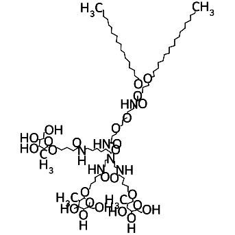 CCCCCCCCCCCCCCCCCCOCC(COC(=O)NCCOCCOCCC(=O)NC(CCCCNC(=O)CCCCOC1OC(CO)C(O)C(O)C1C)C(=O)N(CCNC(=O)CCCCOC1OC(CO)C(O)C(O)C1C)CCNC(=O)CCCCOC1OC(CO)C(O)C(O)C1C)OCCCCCCCCCCCCCCCCCC